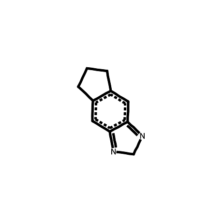 c1c2c(cc3c1=NCN=3)CCC2